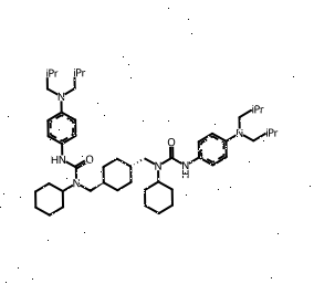 CC(C)CN(CC(C)C)c1ccc(NC(=O)N(C[C@H]2CC[C@H](CN(C(=O)Nc3ccc(N(CC(C)C)CC(C)C)cc3)C3CCCCC3)CC2)C2CCCCC2)cc1